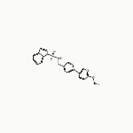 CCOc1ccc(-c2ccc(CNS(=O)(=O)n3ccc4ccccc43)cc2)cn1